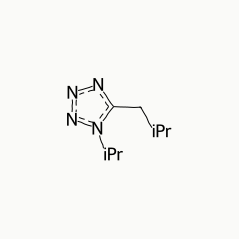 CC(C)Cc1nnnn1C(C)C